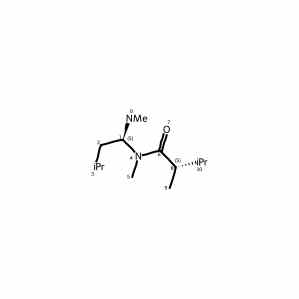 CN[C@H](CC(C)C)N(C)C(=O)[C@@H](C)C(C)C